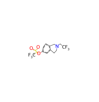 O=S(=O)(Oc1ccc2c(c1)CCN(CC(F)(F)F)C2)C(F)(F)F